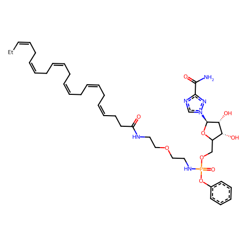 CC/C=C\C/C=C\C/C=C\C/C=C\C/C=C\C/C=C\CCC(=O)NCCOCCNP(=O)(OCC1O[C@@H](n2cnc(C(N)=O)n2)[C@H](O)[C@@H]1O)Oc1ccccc1